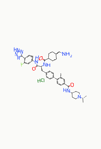 Cc1cc(C(=O)NC2CCN(C(C)C)CC2)ccc1-c1ccc(C[C@H](NC(=O)C2CCC(CN)CC2)C(=O)Nc2ccc(-c3nn[nH]n3)c(F)c2)cc1.Cl